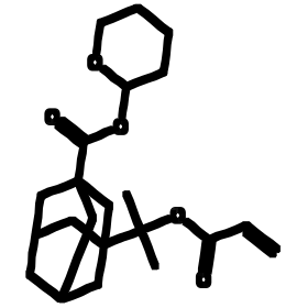 C=CC(=O)OC(C)(C)C12CC3CC(CC(C(=O)OC4CCCCO4)(C3)C1)C2